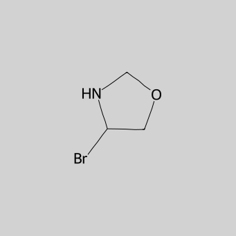 BrC1COCN1